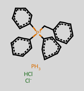 Cl.P.[Cl-].c1ccc(C[P+](c2ccccc2)(c2ccccc2)c2ccccc2)cc1